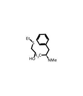 CCSCCO.CN[C@@H](C)Cc1ccccc1